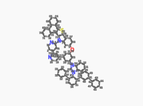 CC(C)(C)c1ccnc(-n2c3cc(Oc4cc(-c5ccncc5)cc(-n5c[n+](-c6c(-c7ccccc7)cccc6-c6cccc(-c7ccccc7)c6)c6ccccc65)c4)ccc3c3sc4c5ccccc5c5ccccc5c4c32)c1